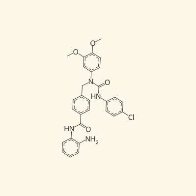 COc1ccc(N(Cc2ccc(C(=O)Nc3ccccc3N)cc2)C(=O)Nc2ccc(Cl)cc2)cc1OC